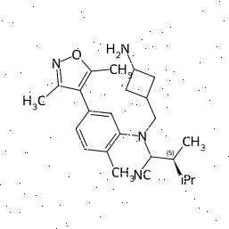 Cc1ccc(-c2c(C)noc2C)cc1N(CC1CC(N)C1)C(C#N)[C@@H](C)C(C)C